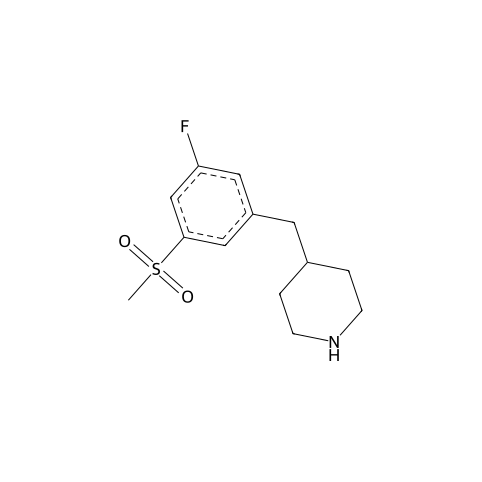 CS(=O)(=O)c1cc(F)cc(CC2CCNCC2)c1